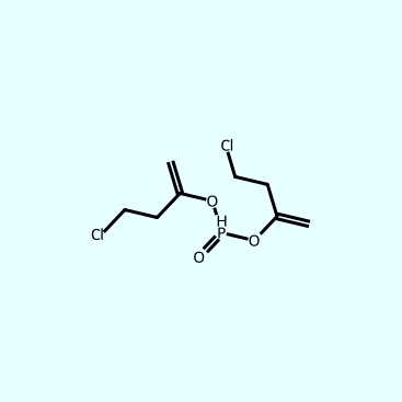 C=C(CCCl)O[PH](=O)OC(=C)CCCl